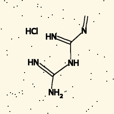 C=NC(=N)NC(=N)N.Cl